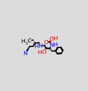 CC[C@@H](CCC#N)CNC[C@H](O)[C@H](Cc1ccccc1)NC(=O)O